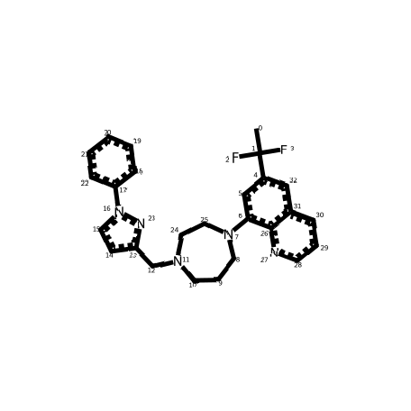 CC(F)(F)c1cc(N2CCCN(Cc3ccn(-c4ccccc4)n3)CC2)c2ncccc2c1